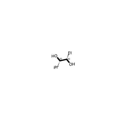 CC[C@H](O)[C@@H](O)C(C)C